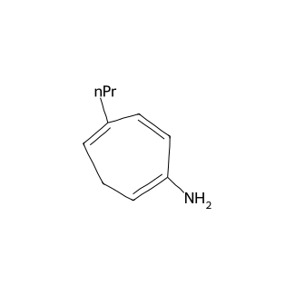 CCCC1=CCC=C(N)C=C1